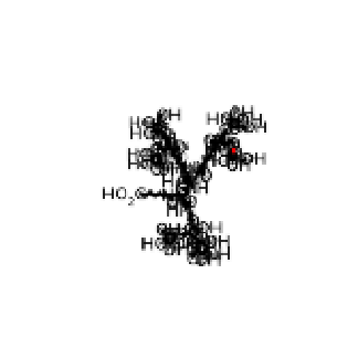 O=C(O)CCCCCNC(=O)CN(CC(=O)NCCO[C@H]1O[C@H](CO[C@H]2O[C@H](CO)[C@@H](O)[C@H](O)[C@@H]2O)[C@@H](O)[C@H](O[C@H]2O[C@H](CO)[C@@H](O)[C@H](O)[C@@H]2O)[C@@H]1O)CC(=O)N[C@@H](CCC(=O)NCCCCCC(=O)N(CCO[C@H]1O[C@H](CO)[C@@H](O)[C@H](O)[C@@H]1O)CCO[C@H]1O[C@H](CO)[C@@H](O)[C@H](O)[C@@H]1O)C(=O)NCCCCCC(=O)N(CCO[C@H]1O[C@H](CO)[C@@H](O)[C@H](O)[C@@H]1O)CCO[C@H]1O[C@H](CO)[C@@H](O)[C@H](O)[C@@H]1O